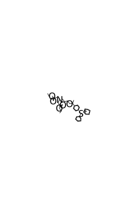 CCOC(=O)CN(CCCOC(C)c1ccc([S+](c2ccccc2)c2ccccc2)cc1)CC(=O)OCC